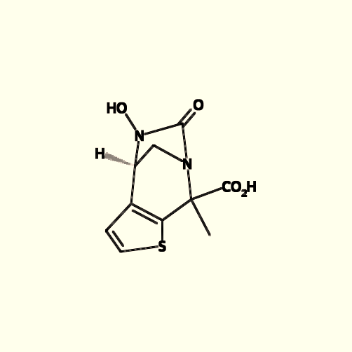 CC1(C(=O)O)c2sccc2[C@@H]2CN1C(=O)N2O